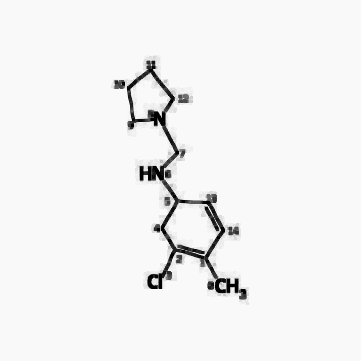 CC1=C(Cl)CC(NCN2CCCC2)C=C1